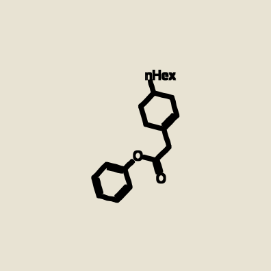 CCCCCCC1CC=C(CC(=O)Oc2ccccc2)CC1